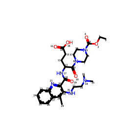 CCOC(=O)N1CCN(C(=O)C(CCC(=O)O)NC(=O)c2nc3ccccc3c(C)c2NCCN(C)C)CC1